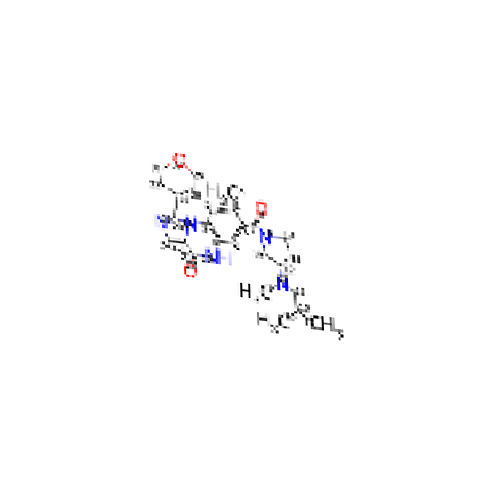 Cc1cc2c(cc1C(=O)N1CC[C@@H](N(C)CC(C)C)C1)[nH]c(=O)c1cnc(C3CCOCC3)n12